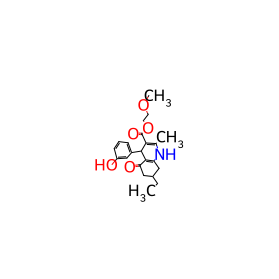 CCC1CC(=O)C2=C(C1)NC(C)=C(C(=O)OCCOC)C2c1cccc(O)c1